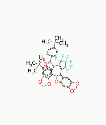 CC(C)(C)c1ccc(-c2oc3cc4c(cc3c2C2=C(c3c(-c5ccc(C(C)(C)C)cc5)oc5cc6c(cc35)OCO6)C(F)(F)C(F)(F)C2(F)F)OCO4)cc1